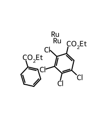 CCOC(=O)c1cc(Cl)c(Cl)c(Cl)c1Cl.CCOC(=O)c1ccccc1.[Ru].[Ru]